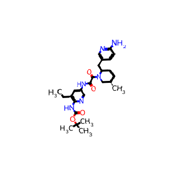 CCc1cc(NC(=O)C(=O)N2C[C@@H](C)CCC2Cc2ccc(N)nc2)cnc1NC(=O)OC(C)(C)C